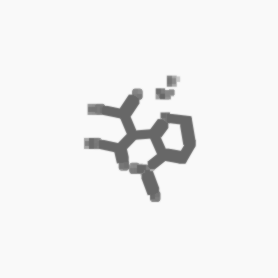 O=C(O)C(C(=O)O)c1ncccc1[N+](=O)[O-].[H-].[Na+]